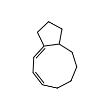 C1=CCCCCC2CCCC2=C1